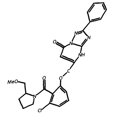 COCC1CCCN1C(=O)c1c(Cl)cccc1OCc1cc(=O)n2nc(-c3ccccc3)nc2[nH]1